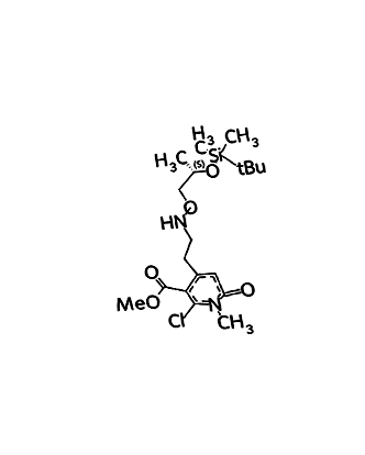 COC(=O)c1c(CCNOC[C@H](C)O[Si](C)(C)C(C)(C)C)cc(=O)n(C)c1Cl